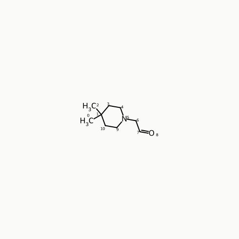 CC1(C)CCN(CC=O)CC1